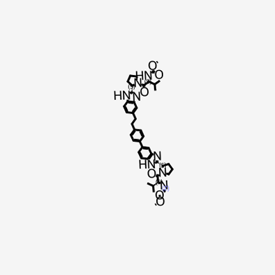 COO/C=N\[C@H](C(=O)N1CCC[C@H]1c1nc2cc(-c3ccc(CCc4ccc5[nH]c([C@@H]6CCCN6C(=O)[C@@H](NC(=O)OC)C(C)C)nc5c4)cc3)ccc2[nH]1)C(C)C